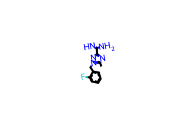 Cc1nc(C(=N)N)nn1Cc1ccccc1F